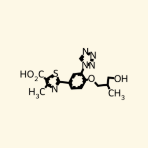 Cc1nc(-c2ccc(OCC(C)CO)c(-n3cnnn3)c2)sc1C(=O)O